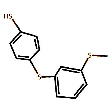 CSc1cccc(Sc2ccc(S)cc2)c1